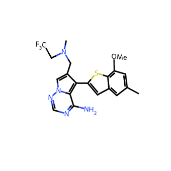 COc1cc(C)cc2cc(-c3c(CN(C)CC(F)(F)F)cn4ncnc(N)c34)sc12